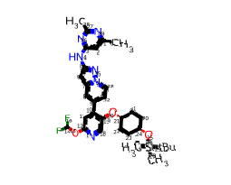 Cc1cc(Nc2cc3cc(-c4cc(OC(F)F)ncc4O[C@H]4CC[C@H](O[Si](C)(C)C(C)(C)C)CC4)ccn3n2)nc(C)n1